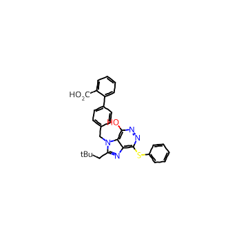 CC(C)(C)Cc1nc2c(Sc3ccccc3)nnc(O)c2n1Cc1ccc(-c2ccccc2C(=O)O)cc1